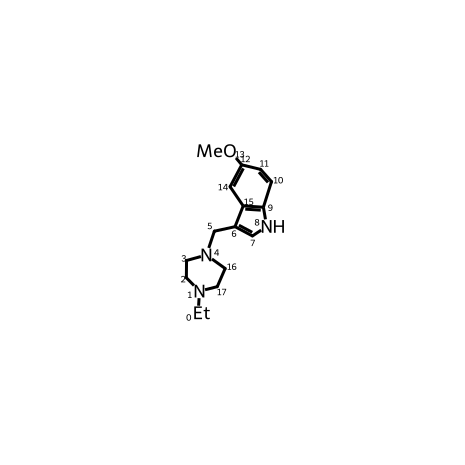 CCN1CCN(Cc2c[nH]c3ccc(OC)cc23)CC1